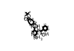 CC(C)(C)OC(=O)N1C2CCC1CC1(COC(c3cnc(N)cc3N[C@H](CO)c3ccccc3)=N1)C2